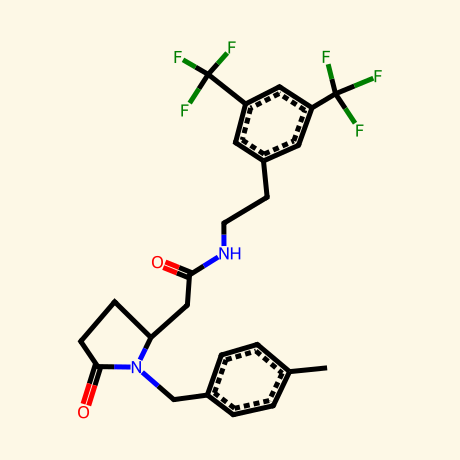 Cc1ccc(CN2C(=O)CCC2CC(=O)NCCc2cc(C(F)(F)F)cc(C(F)(F)F)c2)cc1